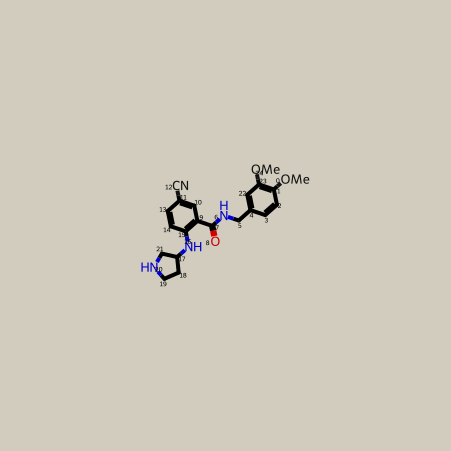 COc1ccc(CNC(=O)c2cc(C#N)ccc2NC2CCNC2)cc1OC